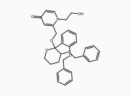 O=c1ccn(CCO)c(COC2(c3ccccc3OCc3ccccc3)OCCCC2OCc2ccccc2)c1